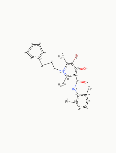 Cc1c(Br)c(=O)c(C(=O)Nc2c(C(C)C)cccc2C(C)C)c(C)n1CCCc1ccccc1